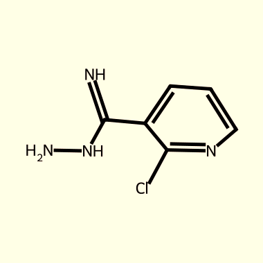 N=C(NN)c1cccnc1Cl